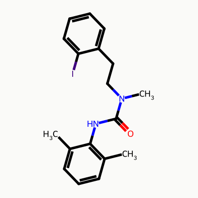 Cc1cccc(C)c1NC(=O)N(C)CCc1ccccc1I